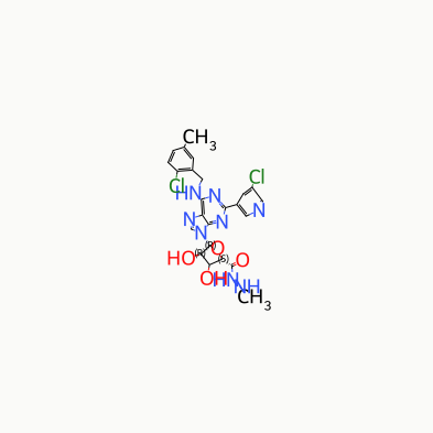 CNNC(=O)[C@H]1O[C@@H](n2cnc3c(NCc4cc(C)ccc4Cl)nc(-c4cncc(Cl)c4)nc32)[C@H](O)C1O